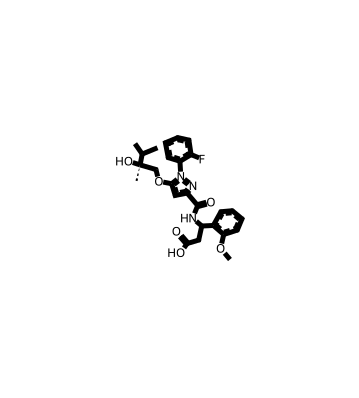 COc1ccccc1C(CC(=O)O)NC(=O)c1cc(OC[C@@](C)(O)C(C)C)n(-c2ccccc2F)n1